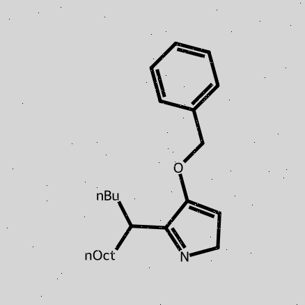 CCCCCCCCC(CCCC)C1=NCC=C1OCc1ccccc1